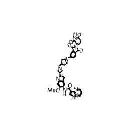 COc1cc2nn(C3CN(CC4CCN(c5ccc6c(c5)C(=O)N(C5CCC(=O)NC5=O)C6=O)CC4)C3)cc2cc1NC(=O)c1cnn2cccnc12